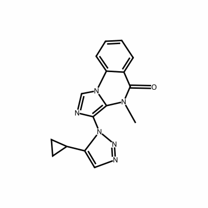 Cn1c(=O)c2ccccc2n2cnc(-n3nncc3C3CC3)c12